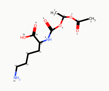 CC(=O)OC(C)OC(=O)NC(CCCCN)C(=O)O